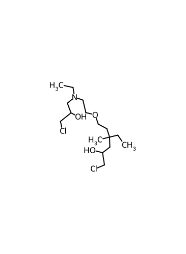 CCN(CCOCCC(C)(CC)CC(O)CCl)CC(O)CCl